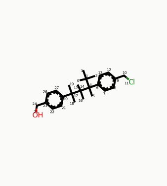 CC(C)(C)C(C)(c1ccc(CCl)cc1)C(C)(C)C(C)(C)c1ccc(CO)cc1